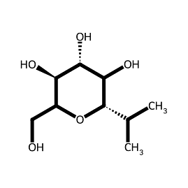 CC(C)[C@@H]1OC(CO)[C@@H](O)[C@H](O)C1O